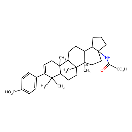 CC1(C)C(c2ccc(C(=O)O)cc2)=CCC2(C)C1CCC1(C)C2CCC2C3CCCC3(NC(=O)C(=O)O)CC[C@]21C